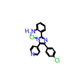 Nc1ccccc1-c1nc(-c2ccc(Cl)cc2)c(-c2ccncc2)n1Cl